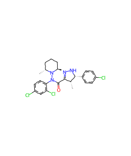 C[C@@H]1C(C(=O)N(c2ccc(Cl)cc2Cl)N2[C@H](C)CCC[C@H]2C)=NN[C@@H]1c1ccc(Cl)cc1